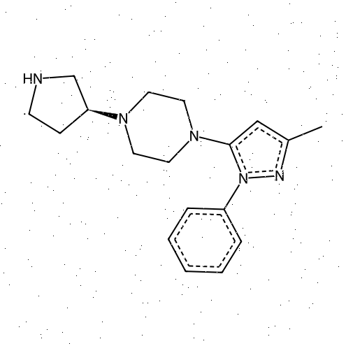 Cc1cc(N2CCN([C@H]3C[CH]NC3)CC2)n(-c2ccccc2)n1